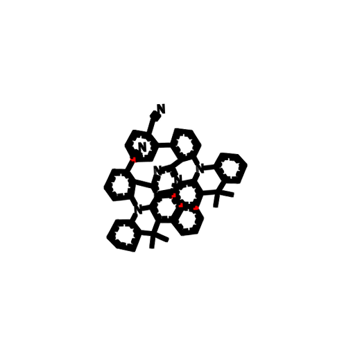 CC1(C)c2ccccc2N(c2cccc(C#N)c2-c2nc(-c3ccccc3)nc(-c3c(-c4ccccc4C#N)cccc3N3c4ccccc4C(C)(C)c4ccccc43)n2)c2ccccc21